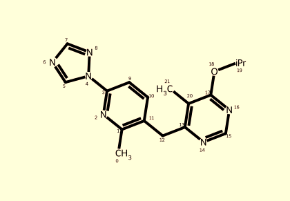 Cc1nc(-n2cncn2)ccc1Cc1ncnc(OC(C)C)c1C